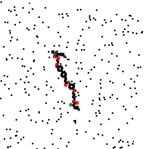 C=C(C)C(=O)OCCOc1ccc(-c2ccc(/C=C/C(=O)Sc3ccc(OCCCCOC(=O)C(=C)F)cc3)cc2)cc1